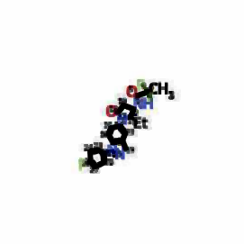 CC[C@@H]1[C@@H](NC(=O)C(C)(F)F)CC(=O)N1c1ccc2c(cnn2-c2ccc(F)cc2)c1